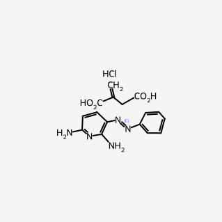 C=C(CC(=O)O)C(=O)O.Cl.Nc1ccc(/N=N/c2ccccc2)c(N)n1